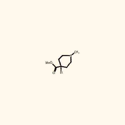 CCC1(C(=O)OC)CCN(C)CC1